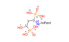 CCCCCNC(CC(O)P(=O)(O)O)P(=O)(O)O